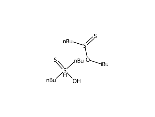 CCCCS(=S)OC(C)CC.CCCC[SH](O)(=S)CCCC